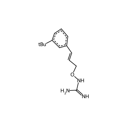 CC(C)(C)c1cccc(C=CCONC(=N)N)c1